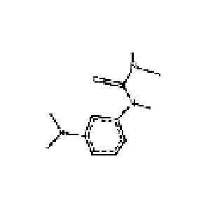 CN(C)C(=O)N(C)c1cccc(N(C)C)c1